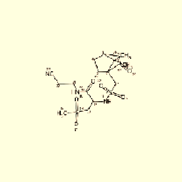 CC1(C)C2CCC1(CS(=O)(=O)NC(CS(C)(=O)=O)C(=O)NCCC#N)C(=O)C2